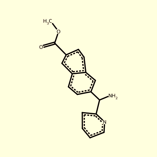 COC(=O)c1ccc2cc(C(N)c3ccccn3)ccc2c1